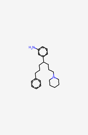 Nc1cccc(C(CCCc2ccccc2)CCCN2CCCCC2)c1